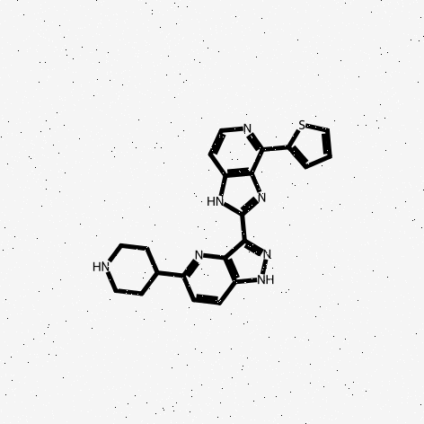 c1csc(-c2nccc3[nH]c(-c4n[nH]c5ccc(C6CCNCC6)nc45)nc23)c1